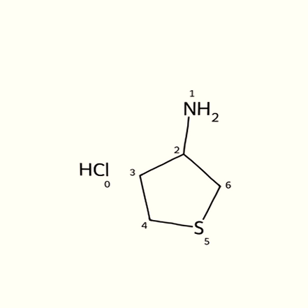 Cl.NC1CCSC1